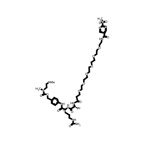 CNCCN(C)C(=O)OCc1ccc(NC(=O)[C@H](CCCNC(N)=O)NC(=O)[C@@H](NC(=O)CCOCCOCCOCCOCCOCCOCCNC(=O)c2cnc(S(C)(=O)=O)nc2)C(C)C)cc1